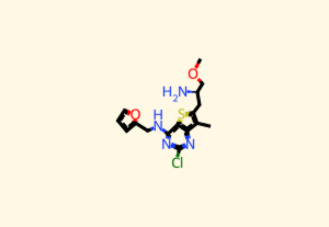 COC[C@H](N)Cc1sc2c(NCc3ccco3)nc(Cl)nc2c1C